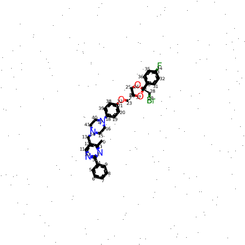 Cc1nc(-c2ccccc2)ncc1CN1CCN(c2ccc(OC[C@@H]3CO[C@](CBr)(c4ccc(F)cc4)O3)cc2)CC1